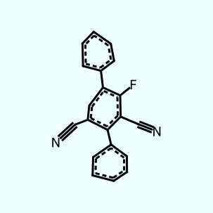 N#Cc1cc(-c2ccccc2)c(F)c(C#N)c1-c1ccccc1